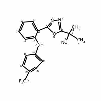 CC(C)(C#N)c1nnc(-c2ccccc2Nc2ccc(C(F)(F)F)cc2)o1